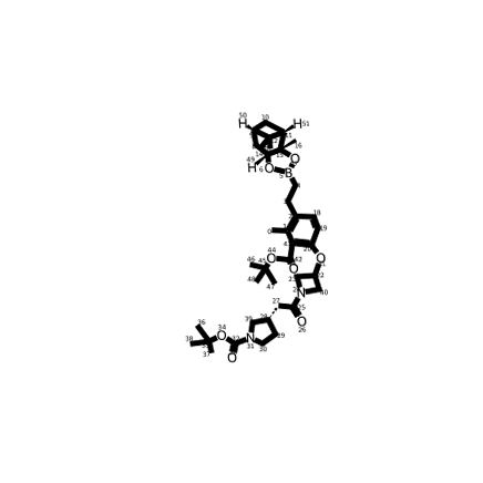 Cc1c(CCB2O[C@@H]3C[C@@H]4C[C@@H](C4(C)C)[C@]3(C)O2)ccc(OC2CN(C(=O)C[C@@H]3CCN(C(=O)OC(C)(C)C)C3)C2)c1C(=O)OC(C)(C)C